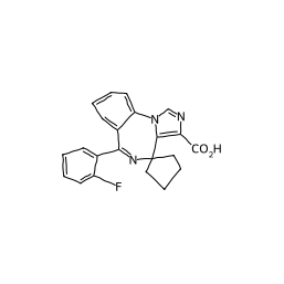 O=C(O)c1ncn2c1C1(CCCC1)N=C(c1ccccc1F)c1ccccc1-2